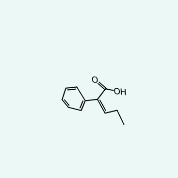 CC/C=C(\C(=O)O)c1ccccc1